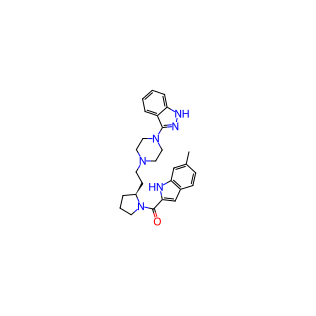 Cc1ccc2cc(C(=O)N3CCC[C@H]3CCN3CCN(c4n[nH]c5ccccc45)CC3)[nH]c2c1